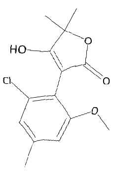 COc1cc(C)cc(Cl)c1C1=C(O)C(C)(C)OC1=O